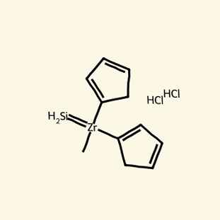 Cl.Cl.[CH3][Zr](=[SiH2])([C]1=CC=CC1)[C]1=CC=CC1